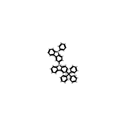 c1ccc(-n2c3ccccc3c3cc(-n4c5ccccc5c5cc(C(c6ccccc6)(c6ccccc6)c6ccccc6)ccc54)ccc32)cc1